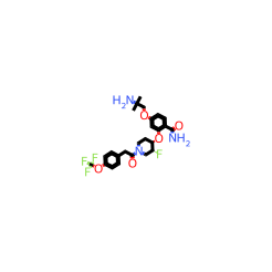 CC(C)(N)COc1ccc(C(N)=O)c(O[C@@H]2CCN(C(=O)Cc3ccc(OC(F)(F)F)cc3)C[C@H]2F)c1